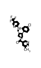 Cc1cc(C(=O)N2C[C@H](CNc3ccc(C(F)(F)F)cn3)[C@@H](c3ccc(Cl)cc3)C2)cnn1